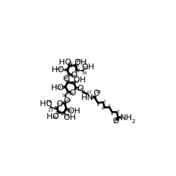 NC(=O)CCCCCCC(=O)NCCO[C@H]1O[C@H](CO[C@H]2O[C@H](CO)[C@@H](O)[C@H](O)[C@@H]2O)[C@@H](O)[C@H](O[C@H]2O[C@H](CO)[C@@H](O)[C@H](O)[C@@H]2O)[C@@H]1O